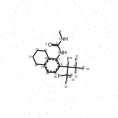 CNC(=O)Nc1c(C(F)(C(F)(F)F)C(F)(F)F)ccc2c1CCCC2